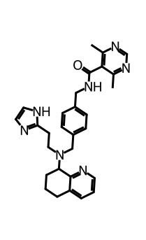 Cc1ncnc(C)c1C(=O)NCc1ccc(CN(CCc2ncc[nH]2)C2CCCc3cccnc32)cc1